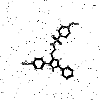 CCCCCN1CCN(S(=O)(=O)NCCc2nc(-c3ccccc3)[nH]c2-c2ccc(OC)cc2)CC1